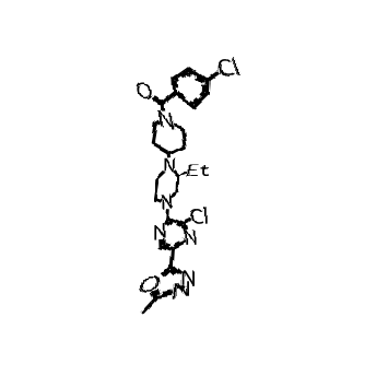 CC[C@H]1CN(c2ncc(-c3nnc(C)o3)nc2Cl)CCN1C1CCN(C(=O)c2ccc(Cl)cc2)CC1